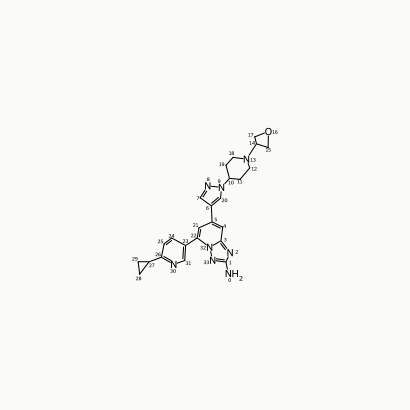 Nc1nc2cc(-c3cnn(C4CCN(C5COC5)CC4)c3)cc(-c3ccc(C4CC4)nc3)n2n1